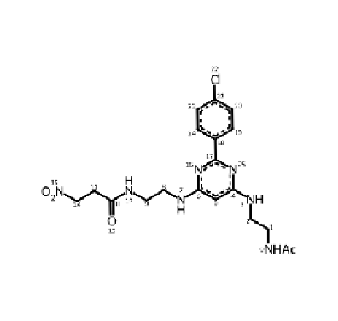 CC(=O)NCCNc1cc(NCCNC(=O)CC[N+](=O)[O-])nc(-c2ccc(Cl)cc2)n1